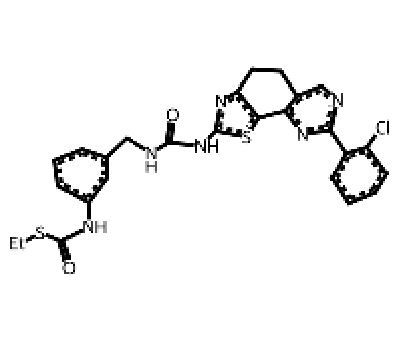 CCSC(=O)Nc1cccc(CNC(=O)Nc2nc3c(s2)-c2nc(-c4ccccc4Cl)ncc2CC3)c1